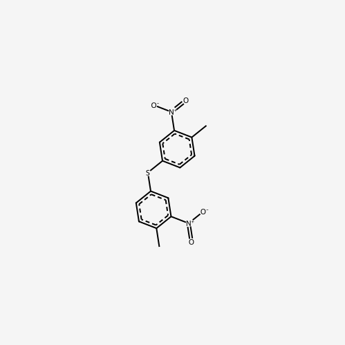 Cc1ccc(Sc2ccc(C)c([N+](=O)[O-])c2)cc1[N+](=O)[O-]